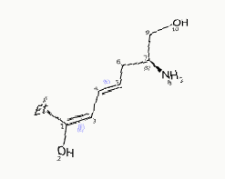 CC/C(O)=C\C=C\C[C@H](N)CO